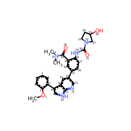 COc1ccccc1-c1c[nH]c2ncc(-c3ccc(NC(=O)N4CCC(O)C4)c(C(=O)N(C)C)c3)cc12